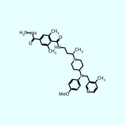 COc1ccc(N(Cc2cnccc2C)C2CCN([C@H](C)CCNC(=O)c3c(C)cc(C(=O)NN)cc3C)CC2)cc1